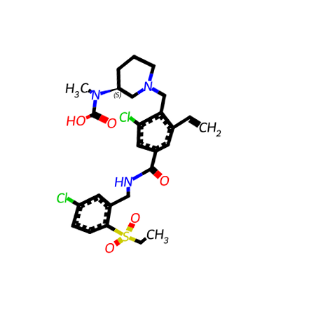 C=Cc1cc(C(=O)NCc2cc(Cl)ccc2S(=O)(=O)CC)cc(Cl)c1CN1CCC[C@H](N(C)C(=O)O)C1